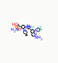 Nc1ccc2cc(-c3cn(-c4ccc(C(=CO)S(N)(=O)=O)cc4N4CCC5(CC4)CC5)nn3)c(F)c(N3CCC(F)(F)CC3)c2n1